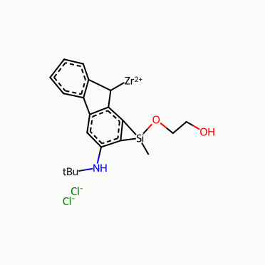 CC(C)(C)Nc1cc2c(c3c1[Si]3(C)OCCO)[CH]([Zr+2])c1ccccc1-2.[Cl-].[Cl-]